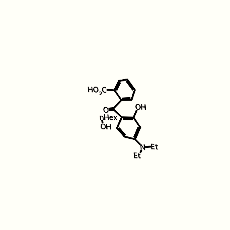 CCCCCCO.CCN(CC)c1ccc(C(=O)c2ccccc2C(=O)O)c(O)c1